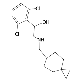 OC(CNCC1CCC2(CC1)CC2)c1c(Cl)cccc1Cl